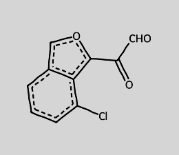 O=CC(=O)c1occ2cccc(Cl)c12